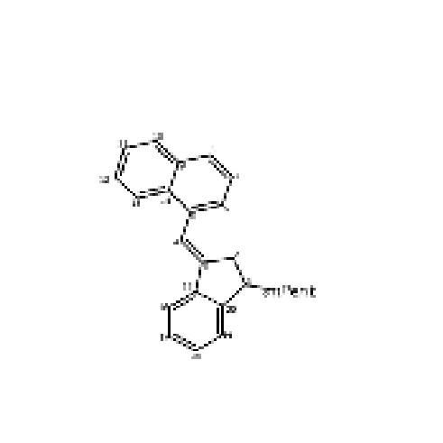 CCCCCC1C/C(=C\c2cccc3ccccc23)c2ccccc21